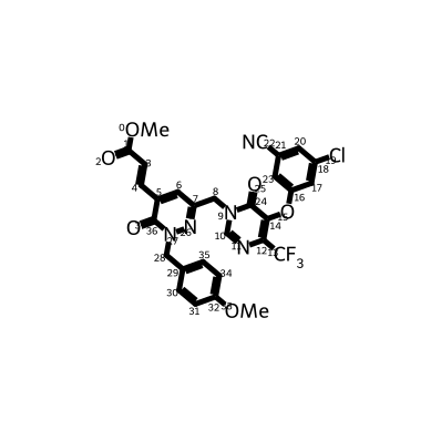 COC(=O)C=Cc1cc(Cn2cnc(C(F)(F)F)c(Oc3cc(Cl)cc(C#N)c3)c2=O)nn(Cc2ccc(OC)cc2)c1=O